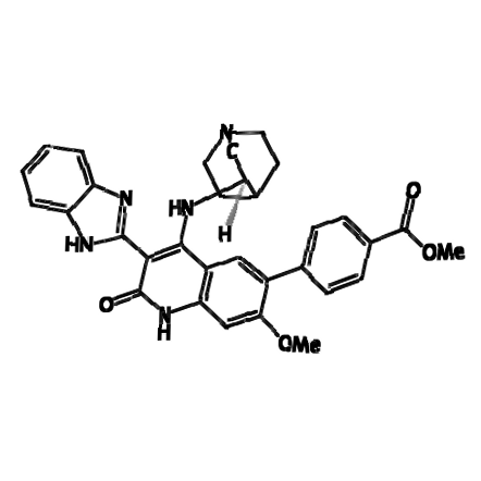 COC(=O)c1ccc(-c2cc3c(N[C@H]4CN5CCC4CC5)c(-c4nc5ccccc5[nH]4)c(=O)[nH]c3cc2OC)cc1